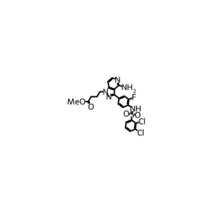 COC(=O)CCCn1nc(-c2ccc(NS(=O)(=O)c3cccc(Cl)c3Cl)c(F)c2)c2c(N)nccc21